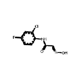 O=C(C=NO)Nc1ccc(F)cc1Cl